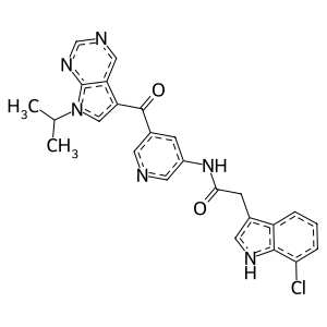 CC(C)n1cc(C(=O)c2cncc(NC(=O)Cc3c[nH]c4c(Cl)cccc34)c2)c2cncnc21